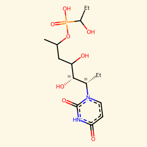 CCC(O)P(=O)(O)OC(C)CC(O)[C@@H](O)[C@H](CC)n1ccc(=O)[nH]c1=O